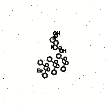 O=C(CC(=O)c1ccccc1)c1ccccc1.O=C(CC(=O)c1ccccc1)c1ccccc1.O=C(CC(=O)c1ccccc1)c1ccccc1.OOc1ccnc2c3c(ccc12)N(OO)CC=C3.[Eu]